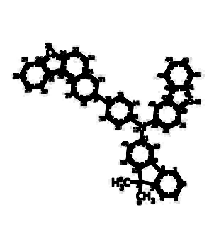 CC1(C)c2ccccc2-c2cc(N(c3ccc(-c4ccc5c(ccc6oc7ccccc7c65)c4)cc3)c3ccc4sc5ccccc5c4c3)ccc21